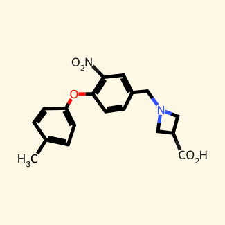 Cc1ccc(Oc2ccc(CN3CC(C(=O)O)C3)cc2[N+](=O)[O-])cc1